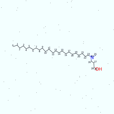 CCCCCCCCCCCCCCCCCCCCCCCCN(C)CCCO